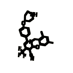 Cc1ccc(Cn2c(-c3ccc(OC4CCNCC4)cc3)cc(C(F)(F)F)c(C#N)c2=O)c(C)c1